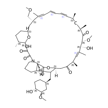 COC[C@H]1C[C@@H]2CC[C@@H](C)[C@@](O)(O2)C(=O)C(=O)N2CCC[C@@H]3C(C[C@@H]4CC[C@@H](O)[C@H](OC)C4)[C@H](CC(=O)[C@H](C)/C=C(\C)[C@@H](O)[C@@H](OC)C(=O)[C@H](C)C[C@H](C)/C=C/C=C/C=C/1C)OC(=O)[C@H]32